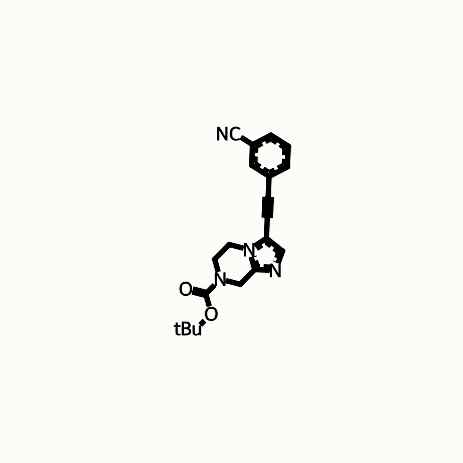 CC(C)(C)OC(=O)N1CCn2c(C#Cc3cccc(C#N)c3)cnc2C1